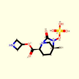 O=C(OC1CNC1)[C@@H]1CC[C@@H]2CN1C(=O)N2OS(=O)(=O)O